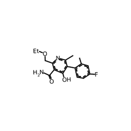 CCOCc1nc(C)c(-c2ccc(F)cc2C)c(O)c1C(N)=O